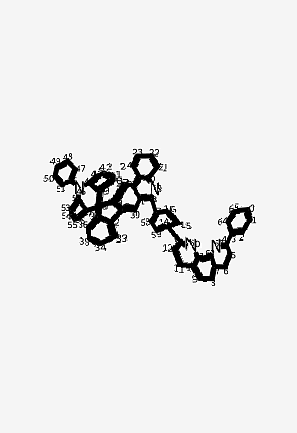 c1ccc(-c2ccc3ccc4ccc(-c5ccc(-c6nc7ccccc7c7cc8c(cc67)-c6ccccc6C86c7ccccc7N(c7ccccc7)c7ccccc76)cc5)nc4c3n2)cc1